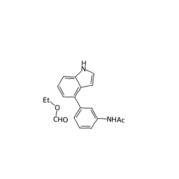 CC(=O)Nc1cccc(-c2cccc3[nH]ccc23)c1.CCOC=O